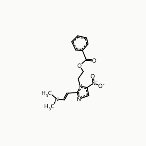 CN(C)C=Cc1ncc([N+](=O)[O-])n1CCOC(=O)c1ccccc1